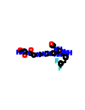 O=C1CCC(N2Cc3ccc(N4CC(N5CCN(c6ccc(C(=O)Nc7n[nH]c8ccc(Cc9cc(F)cc(F)c9)cc78)c(NC7CCOCC7)c6)CC5)C4)cc3C2=O)C(=O)N1